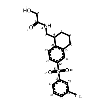 O=C(CO)NCC1CCCc2cc(S(=O)(=O)c3cccc(F)c3)ccc21